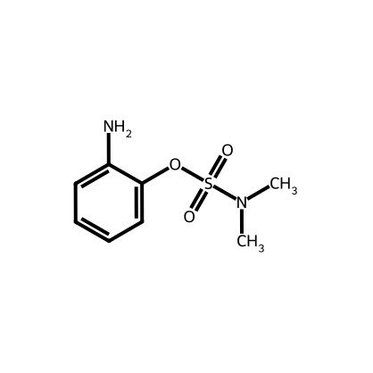 CN(C)S(=O)(=O)Oc1ccccc1N